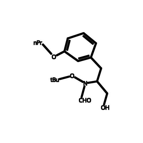 CCCOc1cccc(CC(CO)N(C=O)OC(C)(C)C)c1